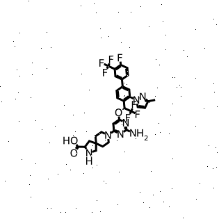 Cc1ccn(-c2cc(-c3ccc(F)c(C(F)(F)F)c3)ccc2[C@@H](Oc2cc(N3CCC4(CC3)CNC(C(=O)O)C4)nc(N)n2)C(F)(F)F)n1